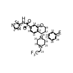 O=S(=O)(Nc1ncns1)c1ccc2c(c1)OCC[C@@H]2N1CCN(CC(F)(F)F)C[C@H]1c1ccc(F)cc1